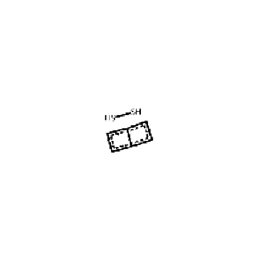 SS.c1cc2ccc1-2